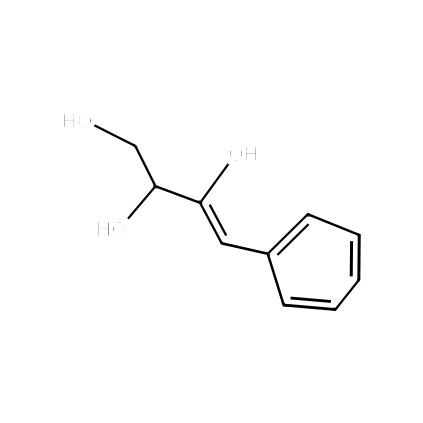 OCC(O)C(O)=Cc1ccccc1